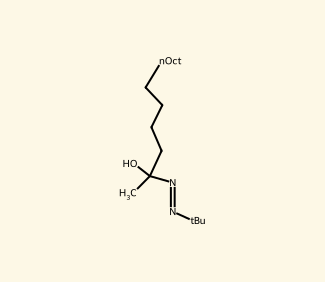 CCCCCCCCCCCCC(C)(O)/N=N/C(C)(C)C